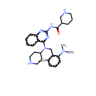 COc1cccc(N(C)C)c1CN(c1nc(NC(=O)C2CCCNC2)nc2ccccc12)C1CCNCC1